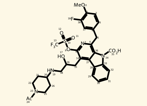 COc1ccc(Cc2nc(OS(=O)(=O)C(F)(F)F)c(CC(O)CNC3CCN(C(C)=O)CC3)c3c4ccccc4n(C(=O)O)c23)cc1F